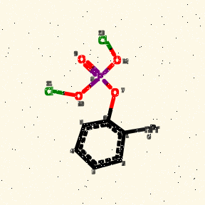 CCCc1ccccc1OP(=O)(OCl)OCl